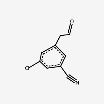 N#Cc1cc(Cl)cc(C[C]=O)c1